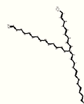 CCCCCCCCCCCCCC(CCCCCCCCCC)CCCCCCCCCCCCC[C]=O